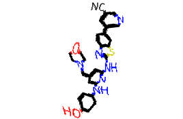 N#Cc1cncc(-c2ccc3nc(Nc4cc(CN5CCOCC5)cc(NC5CCC(O)CC5)n4)sc3c2)c1